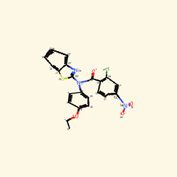 CCOc1ccc(N(C(=O)c2ccc([N+](=O)[O-])cc2Cl)c2nc3ccccc3s2)cc1